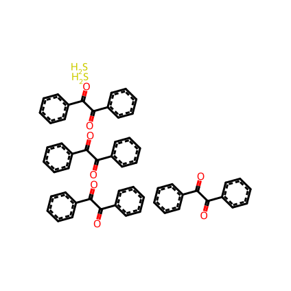 O=C(C(=O)c1ccccc1)c1ccccc1.O=C(C(=O)c1ccccc1)c1ccccc1.O=C(C(=O)c1ccccc1)c1ccccc1.O=C(C(=O)c1ccccc1)c1ccccc1.S.S